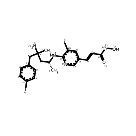 C[C@H](CC(C)(N)Cc1ccc(I)cc1)Nc1ncc(/C=C/C(=O)NO)cc1I